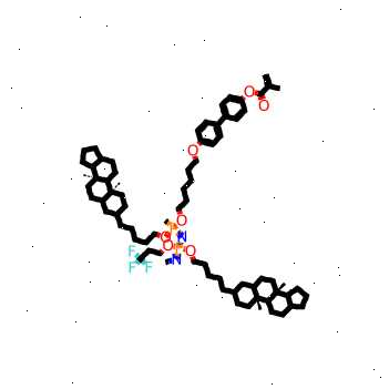 C=C(C)C(=O)Oc1ccc(-c2ccc(OCCCCCCOP(C)(=NP(=NC)(OCCCCCC3CC[C@]4(C)C(CC[C@]5(C)C6CCCC6CCC45)C3)OCCC(F)(F)F)OCCCCCC3CC[C@@]4(C)C(CC[C@@]5(C)C6CCCC6CCC45)C3)cc2)cc1